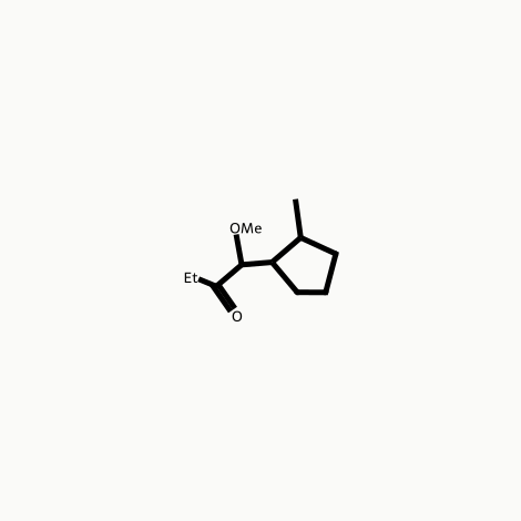 CCC(=O)C(OC)C1CCCC1C